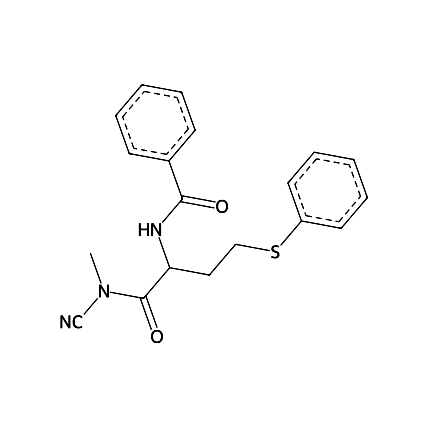 CN(C#N)C(=O)C(CCSc1ccccc1)NC(=O)c1ccccc1